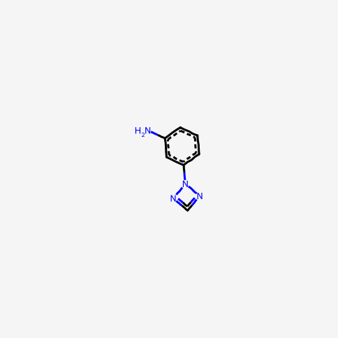 Nc1cccc(N2N=C=N2)c1